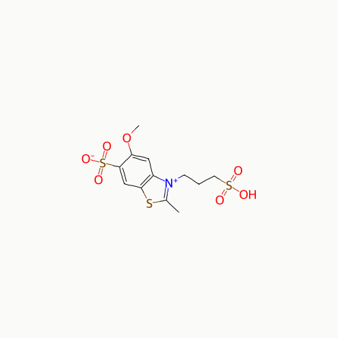 COc1cc2c(cc1S(=O)(=O)[O-])sc(C)[n+]2CCCS(=O)(=O)O